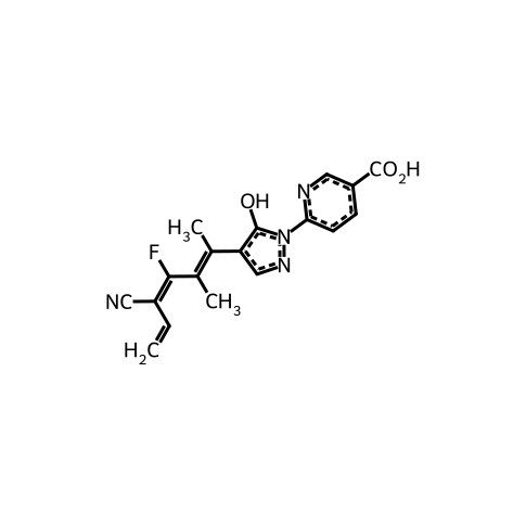 C=C/C(C#N)=C(F)\C(C)=C(/C)c1cnn(-c2ccc(C(=O)O)cn2)c1O